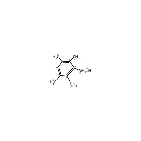 Cc1cc(C)c(C)[c]([AlH2])c1C.[LiH]